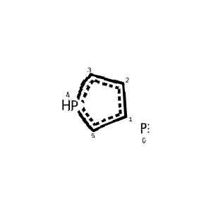 [P].c1cc[pH]c1